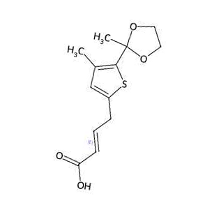 Cc1cc(C/C=C/C(=O)O)sc1C1(C)OCCO1